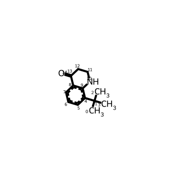 CC(C)(C)c1cccc2c1NCCC2=O